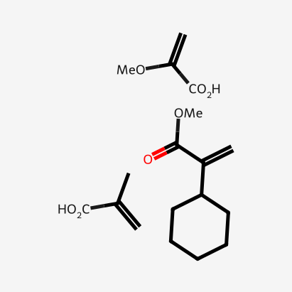 C=C(C(=O)OC)C1CCCCC1.C=C(C)C(=O)O.C=C(OC)C(=O)O